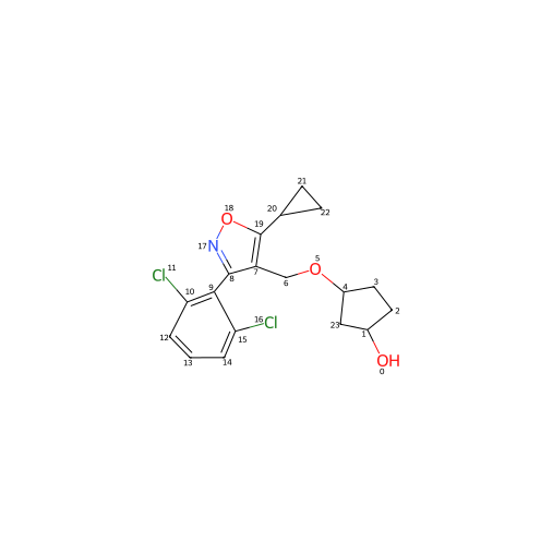 OC1CCC(OCc2c(-c3c(Cl)cccc3Cl)noc2C2CC2)C1